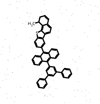 CC1CC=Cc2ccc3c(sc4ccc(-c5c6ccccc6c(-c6cc(-c7ccccc7)cc(-c7ccccc7)c6)c6ccccc56)cc43)c21